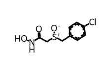 O=C(C[S+]([O-])Cc1ccc(Cl)cc1)NO